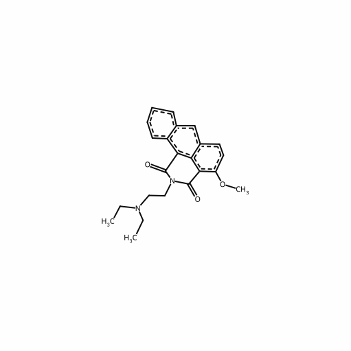 CCN(CC)CCN1C(=O)c2c(OC)ccc3cc4ccccc4c(c23)C1=O